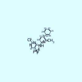 Cc1nc(Nc2nc(Cl)ncc2C(F)(F)F)ccc1-c1ccccc1